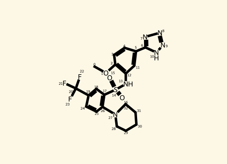 COc1ccc(-c2nnn[nH]2)cc1NS(=O)(=O)c1cc(C(F)(F)F)ccc1N1CCCCC1